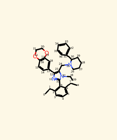 CCc1cccc(CC)c1-c1nc(-c2ccc3c(c2)OCCO3)c(CN2CCCCC2c2ccccc2)n1CC